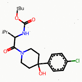 CC(C)C(NC(=O)OC(C)(C)C)C(=O)N1CCC(O)(c2ccc(Cl)cc2)CC1